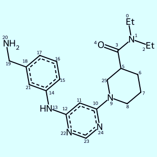 CCN(CC)C(=O)C1CCCN(c2cc(Nc3cccc(CN)c3)ncn2)C1